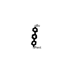 CCCCCC1CCC(c2ccc(C3=CCC(CCCC)CC3)cc2)CC1